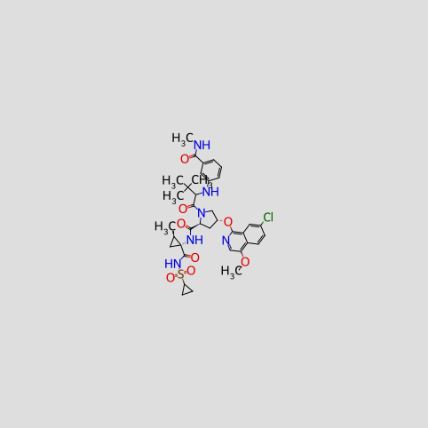 CNC(=O)c1cccc(NC(C(=O)N2C[C@H](Oc3ncc(OC)c4ccc(Cl)cc34)C[C@H]2C(=O)N[C@]2(C(=O)NS(=O)(=O)C3CC3)C[C@H]2C)C(C)(C)C)c1